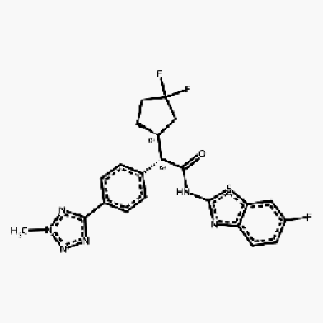 Cn1nnc(-c2ccc([C@@H](C(=O)Nc3nc4ccc(F)cc4s3)[C@H]3CCC(F)(F)C3)cc2)n1